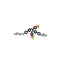 CCCCCC1CCC(c2ccc(CC(c3ccc(OC(F)F)cc3)C(Cc3ccc(OC(F)F)cc3)c3ccc(C4CCC(CCCC)CC4)cc3)cc2)CC1